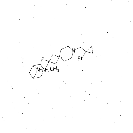 CCC1(CN2CCC3(CC2)CC(F)(CN2C4CC2CN(C)C4)C3)CC1